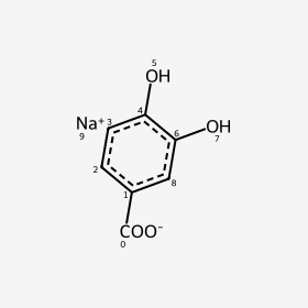 O=C([O-])c1ccc(O)c(O)c1.[Na+]